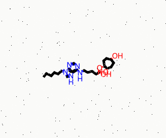 CCCCCC[n+]1c[nH]c2c(NCCCCC(O)O[C@H]3CCC(O)CCC3O)ncnc21